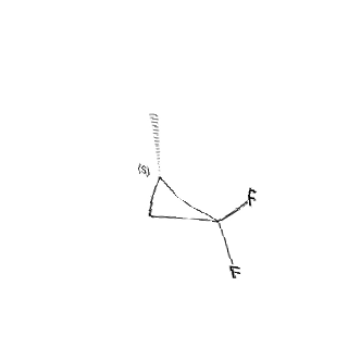 C[C@H]1CC1(F)F